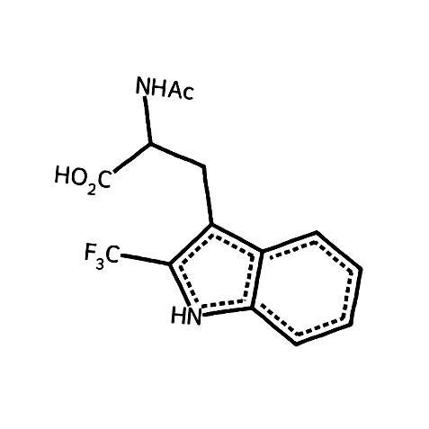 CC(=O)NC(Cc1c(C(F)(F)F)[nH]c2ccccc12)C(=O)O